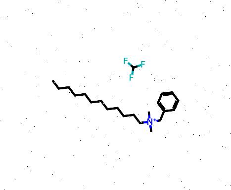 CCCCCCCCCCCC[N+](C)(C)Cc1ccccc1.FC(F)F